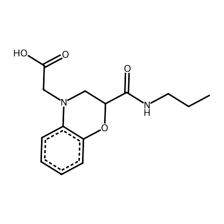 CCCNC(=O)C1CN(CC(=O)O)c2ccccc2O1